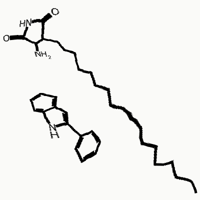 CCCCCCCCCCCCCCCCCCC1C(=O)NC(=O)C1N.c1ccc(-c2cc3ccccc3[nH]2)cc1